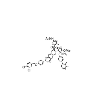 COC(=O)[C@](N)(Cc1ccc(-c2ccnc(C)c2C)cc1)C(=O)[C@@H]1Cc2cc3c(cc2CN1S(=O)(=O)c1sc(NC(C)=O)nc1C)O[C@@H](c1ccc(OCc2ccc(Cl)c(Cl)c2)cc1)CO3